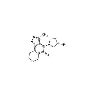 CC(C)N1CCC(n2c(=O)c3c(c4cnn(C)c42)CCCC3)C1